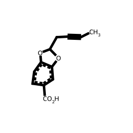 CC#CCC1Oc2ccc(C(=O)O)cc2O1